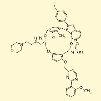 COc1ccccc1-c1nccc(COc2ccc3cc2C[C@H](C(=O)O)Oc2ncnc4sc(-c5ccc(F)cc5)c(c24)-c2ccc(c(Cl)c2C)O[C@H](CNCCN2CCOCC2)CO3)n1